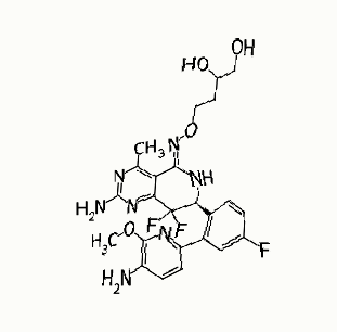 COc1nc(-c2cc(F)ccc2[C@@H]2N/C(=N\OCCC(O)CO)c3c(C)nc(N)nc3C2(F)F)ccc1N